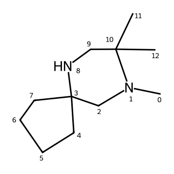 CN1CC2(CCCC2)NCC1(C)C